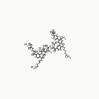 CCCCCCC(Oc1cc(C)c(-c2ccc(OC(F)(F)F)cc2)c(C)c1)c1ccc(C(=O)NCCC(=O)O)cc1.CCCCCCC(Oc1cc(C)c(Br)c(C)c1)c1ccc(C(=O)NCCC(=O)OC)cc1